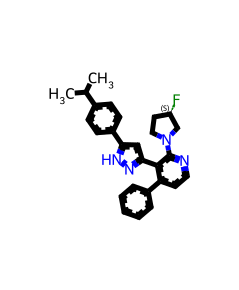 CC(C)c1ccc(-c2cc(-c3c(-c4ccccc4)ccnc3N3CC[C@H](F)C3)n[nH]2)cc1